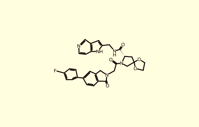 O=C(NCc1cc2cnccc2[nH]1)[C@@H]1CC2(CN1C(=O)CN1Cc3cc(-c4ccc(F)cc4)ccc3C1=O)OCCO2